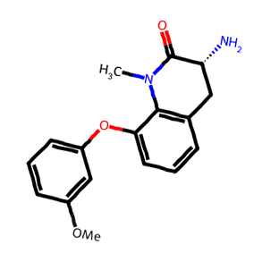 COc1cccc(Oc2cccc3c2N(C)C(=O)[C@H](N)C3)c1